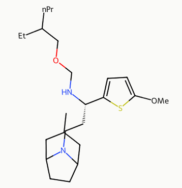 CCCC(CC)COCN[C@@H](CCN1C2CCC1CC(C)C2)c1ccc(OC)s1